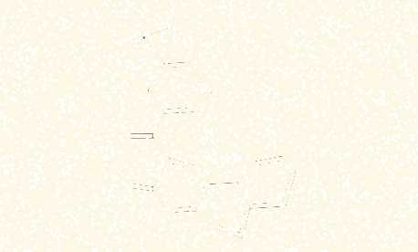 O=C(c1cccc(C(F)(F)F)c1)c1cc2c(ccc3ccccc32)oc1=O